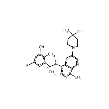 Cc1c(C#N)cc(F)cc1[C@@H](C)Nc1nnc(C)c2ncc(N3CCC(C)(O)CC3)cc12